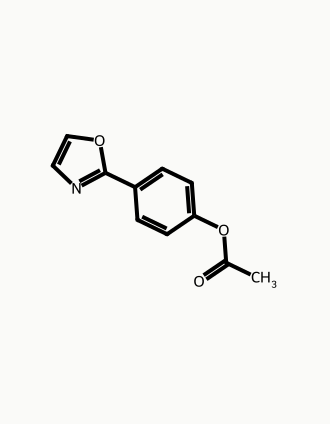 CC(=O)Oc1ccc(-c2ncco2)cc1